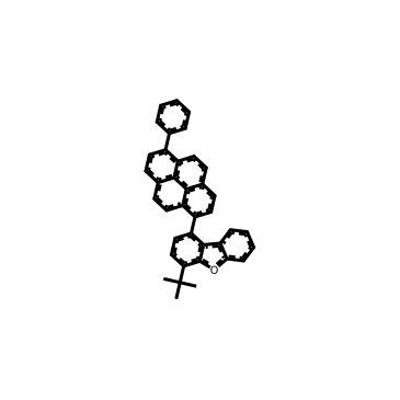 CC(C)(C)c1ccc(-c2ccc3ccc4c(-c5ccccc5)ccc5ccc2c3c54)c2c1oc1ccccc12